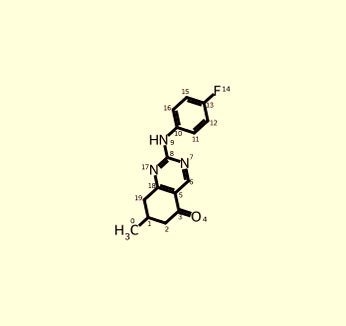 CC1CC(=O)c2cnc(Nc3ccc(F)cc3)nc2C1